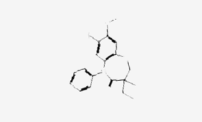 CCC1(C)CSc2cc(OC)c(I)cc2N(c2ccccc2)C1=O